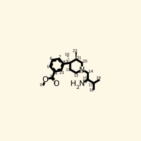 COC(=O)c1cccc([C@]2(C)CCN(CC(N)C(C)C)C[C@@H]2C)c1